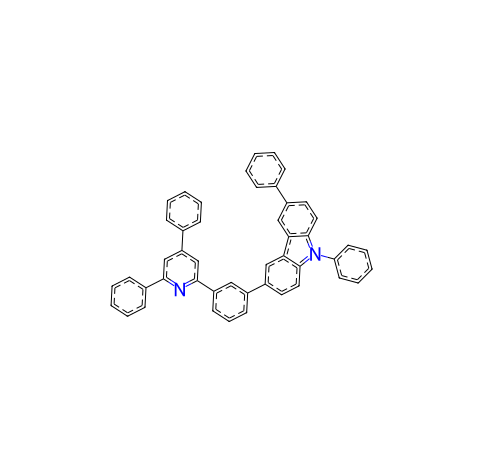 c1ccc(-c2cc(-c3ccccc3)nc(-c3cccc(-c4ccc5c(c4)c4cc(-c6ccccc6)ccc4n5-c4ccccc4)c3)c2)cc1